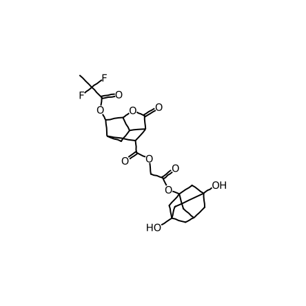 CC(F)(F)C(=O)OC1C2CC3C1OC(=O)C3C2C(=O)OCC(=O)OC12CC3CC(O)(CC(O)(C3)C1)C2